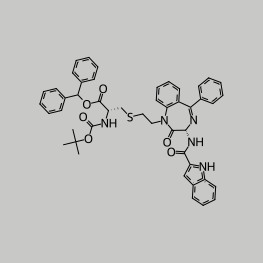 CC(C)(C)OC(=O)N[C@@H](CSCCN1C(=O)[C@@H](NC(=O)c2cc3ccccc3[nH]2)N=C(c2ccccc2)c2ccccc21)C(=O)OC(c1ccccc1)c1ccccc1